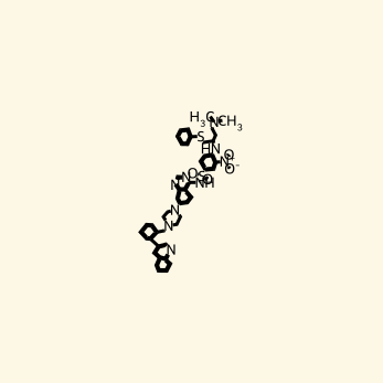 CN(C)CCC(CSc1ccccc1)Nc1ccc(S(=O)(=O)Nc2ncnc3cc(N4CCN(Cc5ccccc5-c5cnc6ccccc6c5)CC4)ccc23)cc1[N+](=O)[O-]